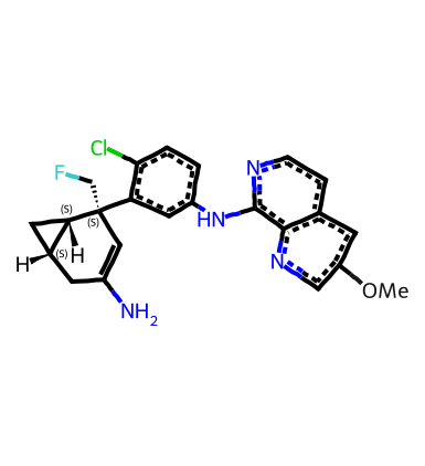 COc1cnc2c(Nc3ccc(Cl)c([C@@]4(CF)C=C(N)C[C@@H]5C[C@@H]54)c3)nccc2c1